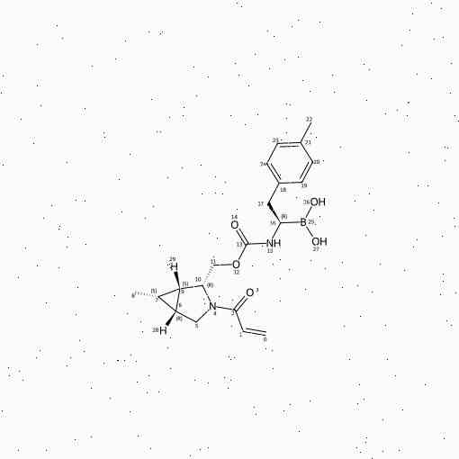 C=CC(=O)N1C[C@@H]2[C@H](C)[C@@H]2[C@@H]1COC(=O)N[C@@H](Cc1ccc(C)cc1)B(O)O